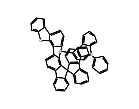 c1ccc(-n2c3ccccc3c3ccc4c(c32)-c2ccccc2C42c3ccccc3-c3ccc4c5c6oc7ccccc7c6ccc5n(-c5ccccc5)c4c32)cc1